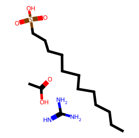 CC(=O)O.CCCCCCCCCCCCS(=O)(=O)O.N=C(N)N